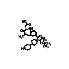 CN1Cc2cc(C(=O)[N+]3(C(=O)OC(C)(C)C)CCC(C4CCNCC4)CC3)ccc2N[C@@H](CC(=O)O)C1=O